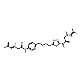 C=C(C)/C=C(\C)CC(=O)Nc1ccc(CCCCc2nnc(N(C)C(=C)CN(C)N=C(C)C)s2)nn1